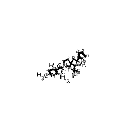 Cc1ccc(C(C)(C)N2CCC(CCc3cccs3)(C(O)C(F)(F)F)C2)cn1